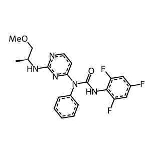 COC[C@H](C)Nc1nccc(N(C(=O)Nc2c(F)cc(F)cc2F)c2ccccc2)n1